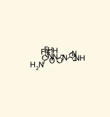 NCc1ccc(C(F)(F)F)c(NC(=O)Nc2cccc3c2ccn3Cc2ccnc3[nH]ccc23)c1